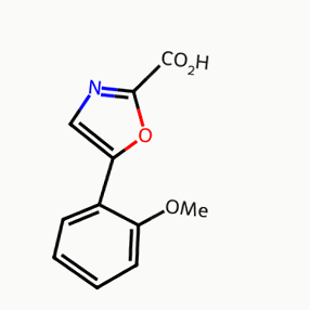 COc1ccccc1-c1cnc(C(=O)O)o1